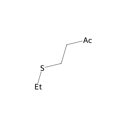 CCSCCC(C)=O